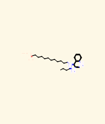 CCCc1nc2cnc3ccccc3c2n1CCCCCCCCCCCC(=O)O